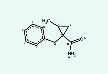 CC1CC1(Cc1ccccc1)C(N)=O